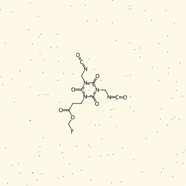 O=C=NCn1c(=O)n(CCC(=O)OCF)c(=O)n(CN=C=O)c1=O